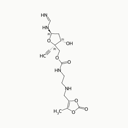 C#C[C@]1(COC(=O)NCCNCc2oc(=O)oc2C)O[C@@H](NC=N)C[C@@H]1O